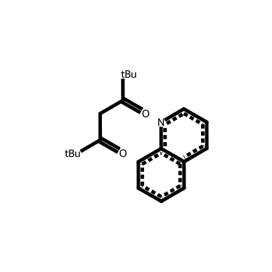 CC(C)(C)C(=O)CC(=O)C(C)(C)C.c1ccc2ncccc2c1